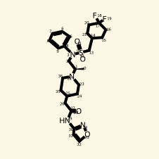 C[C@H](CN(c1ccccc1)S(=O)(=O)CC1CCC(F)(F)CC1)N1CCC(CC(=O)Nc2ccon2)CC1